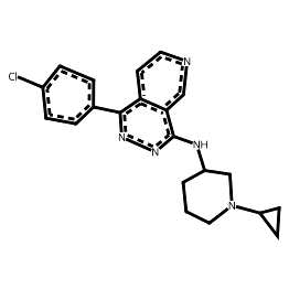 Clc1ccc(-c2nnc(NC3CCCN(C4CC4)C3)c3cnccc23)cc1